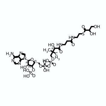 CC(C)(COP(=O)(O)OP(=O)(O)OC[C@H]1O[C@@H](n2cnc3c(N)ncnc32)[C@H](O)[C@@H]1OP(=O)(O)O)[C@@H](O)C(=O)NCCC(=O)NCCSC(=O)C(O)CO